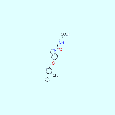 O=C(O)CCNCC(=O)N1CCc2cc(OCc3ccc(C4CCC4)c(C(F)(F)F)c3)ccc21